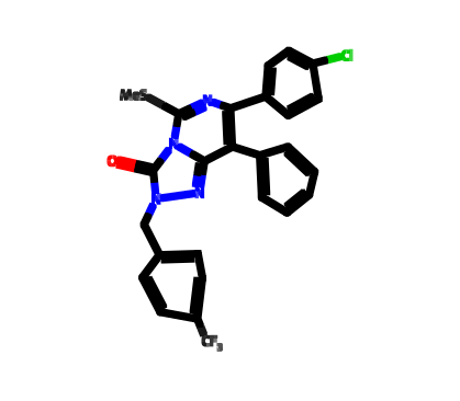 CSc1nc(-c2ccc(Cl)cc2)c(-c2ccccc2)c2nn(Cc3ccc(C(F)(F)F)cc3)c(=O)n12